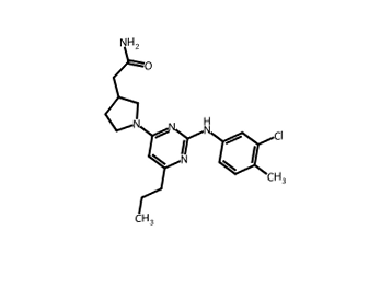 CCCc1cc(N2CCC(CC(N)=O)C2)nc(Nc2ccc(C)c(Cl)c2)n1